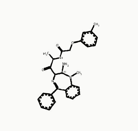 Cc1cccc(OCC(=O)NC(C)C(=O)C2N=C(c3ccccc3)c3ccccc3N(C)[C@@H]2N)c1